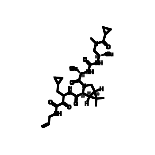 C=CCNC(=O)C(=O)C(CC1CC1)NC(=O)[C@@H]1[C@@H]2[C@H](CN1C(=O)[C@@H](NC(=O)N[C@H](CN(C)C(=O)C1CC1)C(C)(C)C)C(C)(C)C)C2(C)C